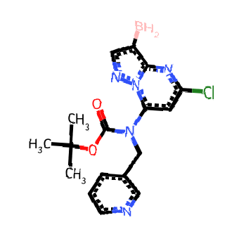 Bc1cnn2c(N(Cc3cccnc3)C(=O)OC(C)(C)C)cc(Cl)nc12